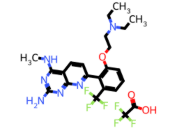 CCN(CC)CCOc1cccc(C(F)(F)F)c1-c1ccc2c(NC)nc(N)nc2n1.O=C(O)C(F)(F)F